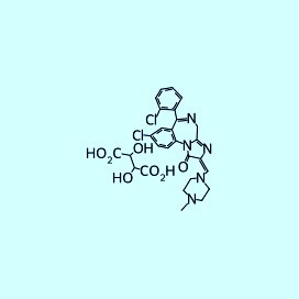 CN1CCN(C=C2N=C3CN=C(c4ccccc4Cl)c4cc(Cl)ccc4N3C2=O)CC1.O=C(O)C(O)C(O)C(=O)O